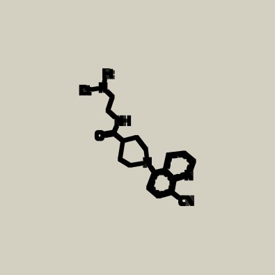 CCN(CC)CCNC(=O)C1CCN(c2ccc(C#N)c3ncccc23)CC1